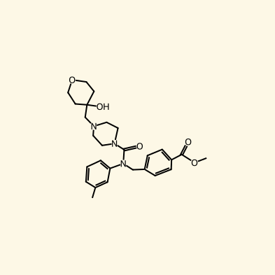 COC(=O)c1ccc(CN(C(=O)N2CCN(CC3(O)CCOCC3)CC2)c2cccc(C)c2)cc1